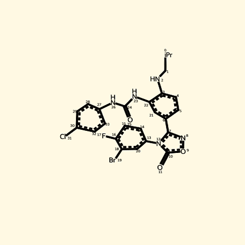 CC(C)CNc1ccc(-c2noc(=O)n2-c2ccc(F)c(Br)c2)cc1NC(=O)Nc1ccc(Cl)cc1